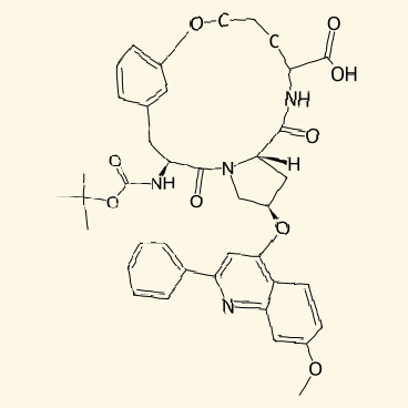 COc1ccc2c(O[C@@H]3C[C@H]4C(=O)NC(C(=O)O)CCCOc5cccc(c5)C[C@H](NC(=O)OC(C)(C)C)C(=O)N4C3)cc(-c3ccccc3)nc2c1